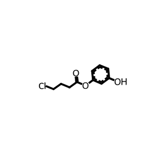 O=C(CCCCl)Oc1cccc(O)c1